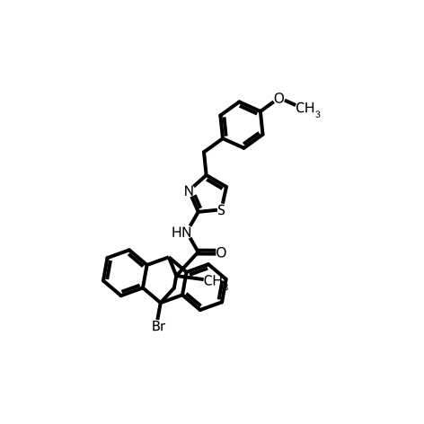 COc1ccc(Cc2csc(NC(=O)C3(C)CC4(Br)c5ccccc5C3c3ccccc34)n2)cc1